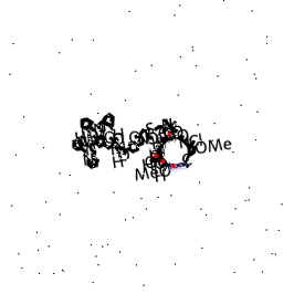 COC(=O)C(Cc1cc(CN(Cc2ccccn2)Cc2ccccn2)c(O)c(CN(Cc2ccccn2)Cc2ccccn2)c1)NNC(=O)C1CCC(CN2C(=O)CC(SCCC(=O)N(C)[C@@H](C)C(=O)O[C@H]3CC(=O)N(C)c4cc(cc(OC)c4Cl)C/C(C)=C/C=C/[C@@H](OC)[C@@]4(O)C[C@H](OC(=O)N4)[C@@H](C)[C@@H]4OC34C)C2=O)CC1